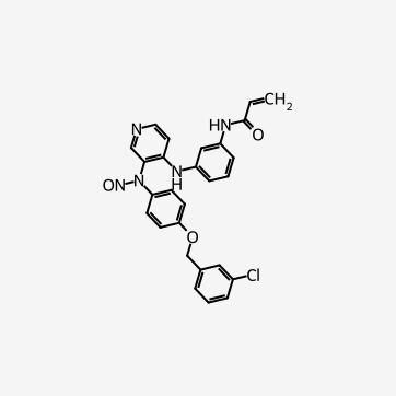 C=CC(=O)Nc1cccc(Nc2ccncc2N(N=O)c2ccc(OCc3cccc(Cl)c3)cc2)c1